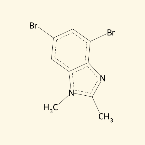 Cc1nc2c(Br)cc(Br)cc2n1C